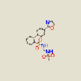 CS(=O)(=O)NCNS(=O)(=O)c1ccccc1-c1ccc(-c2ncco2)cc1